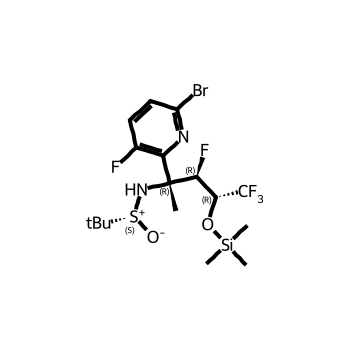 CC(C)(C)[S@@+]([O-])N[C@](C)(c1nc(Br)ccc1F)[C@@H](F)[C@@H](O[Si](C)(C)C)C(F)(F)F